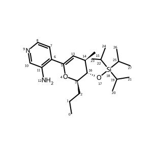 CCC[C@H]1OC(c2ccncc2N)=C[C@@H](C)[C@@H]1O[Si](C(C)C)(C(C)C)C(C)C